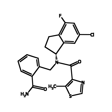 Cc1scnc1C(=O)N(Cc1ccccc1C(N)=O)[C@@H]1CCc2c(F)cc(Cl)cc21